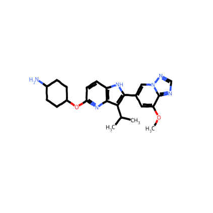 COc1cc(-c2[nH]c3ccc(OC4CCC(N)CC4)nc3c2C(C)C)cn2ncnc12